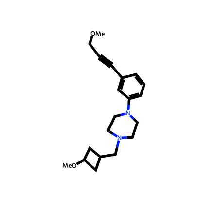 COCC#Cc1cccc(N2CCN(CC3CC(OC)C3)CC2)c1